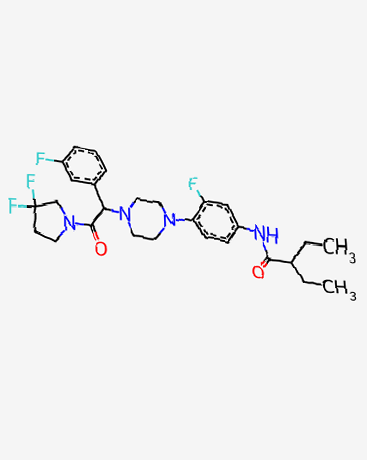 CCC(CC)C(=O)Nc1ccc(N2CCN(C(C(=O)N3CCC(F)(F)C3)c3cccc(F)c3)CC2)c(F)c1